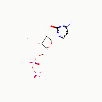 Nc1ccn([C@@H]2O[C@H](COP(=O)(O)OP(=O)(O)O)[C@@H](O)[C@H]2O)c(=O)n1.[NaH]